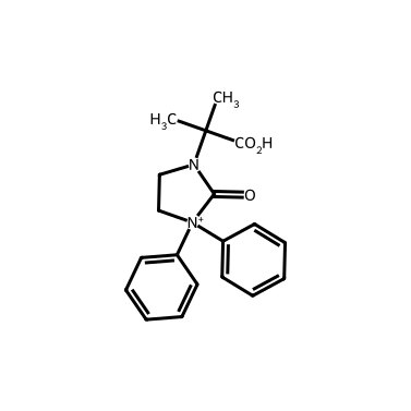 CC(C)(C(=O)O)N1CC[N+](c2ccccc2)(c2ccccc2)C1=O